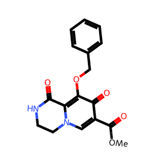 COC(=O)c1cn2c(c(OCc3ccccc3)c1=O)C(=O)NCC2